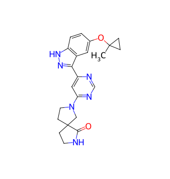 CC1(Oc2ccc3[nH]nc(-c4cc(N5CCC6(CCNC6=O)C5)ncn4)c3c2)CC1